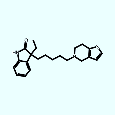 CCC1(CCCCCN2CCc3sccc3C2)C(=O)Nc2ccccc21